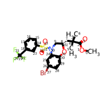 COC(=O)C(C)(C)C[C@H]1CN(S(=O)(=O)c2cccc(C(F)(F)F)c2)c2cc(Br)ccc2O1